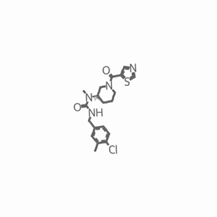 Cc1cc(CNC(=O)N(C)[C@@H]2CCCN(C(=O)c3cncs3)C2)ccc1Cl